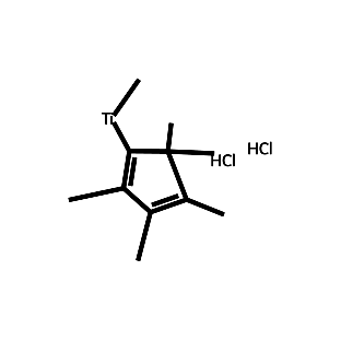 Cl.Cl.[CH3][Ti][C]1=C(C)C(C)=C(C)C1(C)C